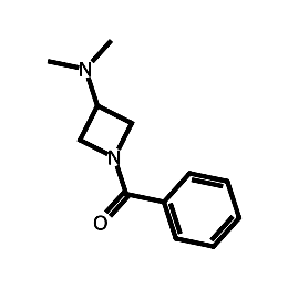 CN(C)C1CN(C(=O)c2ccccc2)C1